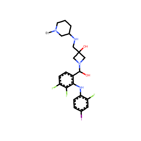 CCN1CCCC(NCC2(O)CN(C(O)c3ccc(F)c(F)c3Nc3ccc(I)cc3F)C2)C1